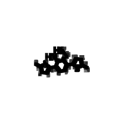 Cc1ccc(C2=CC=C(c3ccc(C)s3)/C(=N/S)C2=N)s1